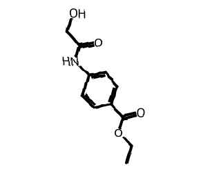 CCOC(=O)c1ccc(NC(=O)CO)cc1